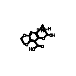 O=C(O)c1c2c(cc3c1OB(O)[C@@H]1C[C@H]31)OCCO2